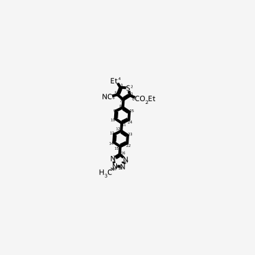 CCOC(=O)c1sc(CC)c(C#N)c1-c1ccc(-c2ccc(-c3nnn(C)n3)cc2)cc1